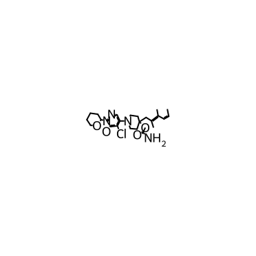 C/C=C\C(C)=C(/C)CC1(OC(N)=O)CCN(c2cnn(C3CCCCO3)c(=O)c2Cl)CC1